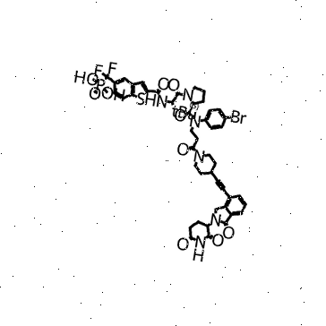 CC(C)(C)C(NC(=O)c1cc2cc(C(F)(F)P(=O)(O)O)ccc2s1)C(=O)N1CCC[C@H]1C(=O)N(CCC(=O)N1CCC(C#Cc2cccc3c2CN(C2CCC(=O)NC2=O)C3=O)CC1)c1ccc(Br)cc1